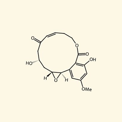 COc1cc(O)c2c(c1)[C@H]1O[C@@H]1C[C@H](O)CC(=O)/C=C\CCOC2=O